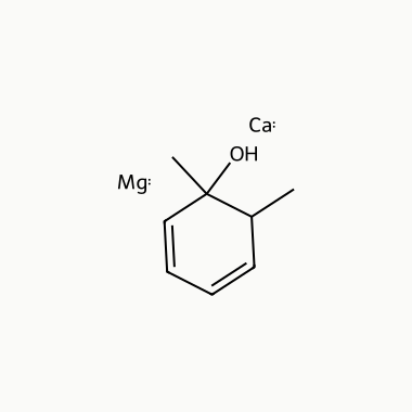 CC1C=CC=CC1(C)O.[Ca].[Mg]